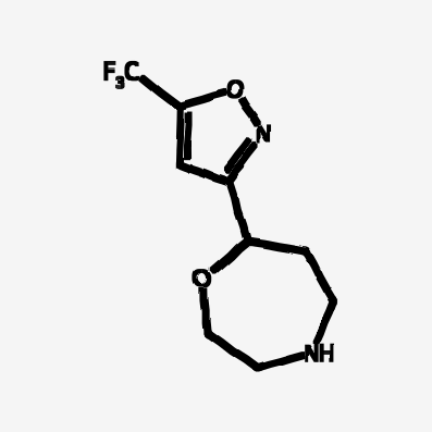 FC(F)(F)c1cc(C2CCNCCO2)no1